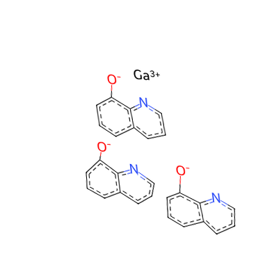 [Ga+3].[O-]c1cccc2cccnc12.[O-]c1cccc2cccnc12.[O-]c1cccc2cccnc12